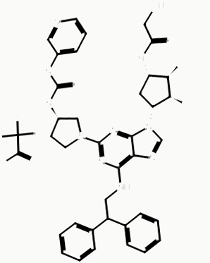 CCC(=O)N[C@H]1C[C@@H](n2cnc3c(NCC(c4ccccc4)c4ccccc4)nc(N4CC[C@@H](NC(=O)Nc5cccnc5)C4)nc32)[C@H](O)[C@@H]1O.O=C(O)C(F)(F)F